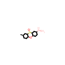 BBc1ccc2c(c1)[S+]([O-])c1cc(C)ccc1O2